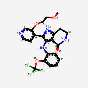 COCCOc1cnccc1-c1[nH]c2c(c1Nc1ccccc1OC(F)(F)F)C(=O)NCC2